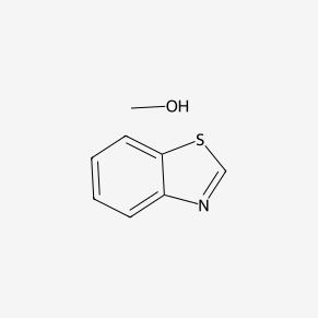 CO.c1ccc2scnc2c1